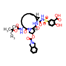 CC(C)(C)OC(=O)N[C@H]1CCCCC/C=C\[C@@H]2C[C@@]2(C(=O)NS(=O)(=O)c2ccc(O)c(C(=O)O)c2)NC(=O)[C@@H]2C[C@@H](OC(=O)N3Cc4ccccc4C3)CN2C1=O